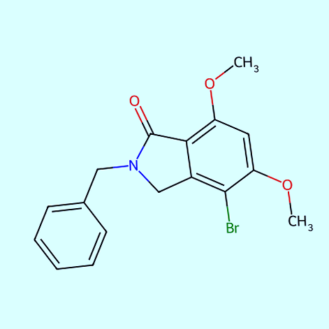 COc1cc(OC)c2c(c1Br)CN(Cc1ccccc1)C2=O